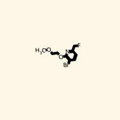 COCCOc1nc(CF)ccc1Br